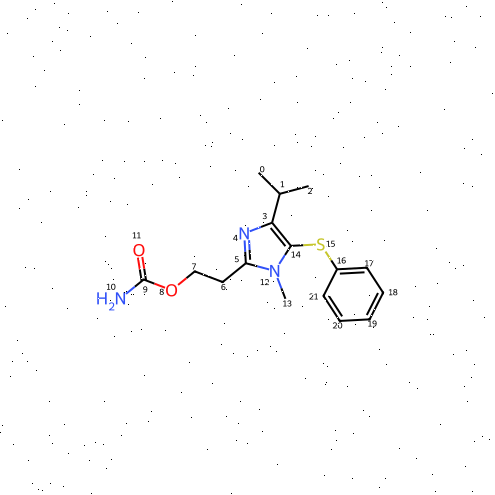 CC(C)c1nc(CCOC(N)=O)n(C)c1Sc1ccccc1